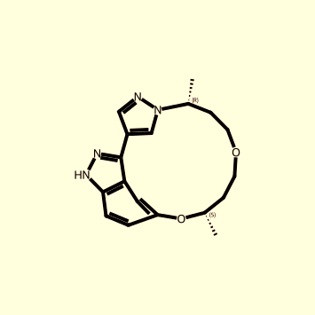 C[C@@H]1CCOCC[C@H](C)Oc2ccc3[nH]nc(c3c2)-c2cnn1c2